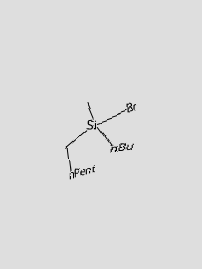 CCCCCC[Si](C)(Br)CCCC